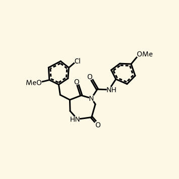 COc1ccc(NC(=O)N2CC(=O)NCC(Cc3cc(Cl)ccc3OC)C2=O)cc1